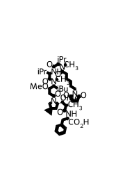 CCC(C)C(C(CC(=O)N1CC2(CC2)C[C@H]1C(OC)C(C)C(=O)NC(Cc1ccccc1)C(=O)O)OC)N(C)C(=O)C(NC(=O)C(C(C)C)N(C)C(=O)CCCCCN1C(=O)C=CC1=O)C(C)C